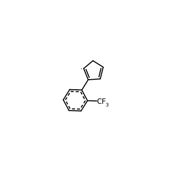 FC(F)(F)c1ccccc1C1=[C]CC=C1